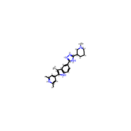 Cc1cc(-c2[nH]c3ccc(-c4nnc(C5CCCN(C(C)C)C5)[nH]4)cc3c2C(C)C)cc(C)n1